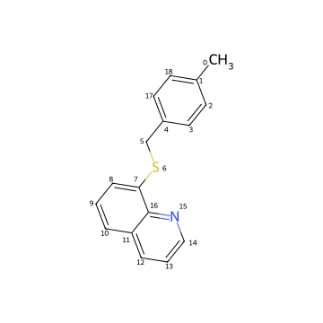 Cc1ccc(CSc2cccc3cccnc23)cc1